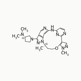 C[C@H]1CCOc2c(cnn2C)-c2nccc(n2)Nc2cc3c(cn2)c(N2CC[C@H](N(C)C)C2)nn31